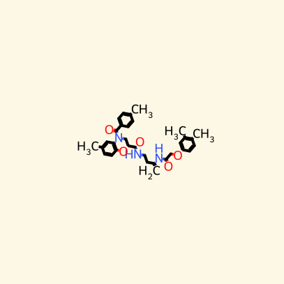 C=C(CCNC(=O)C1CN(C(=O)c2ccc(C)cc2)c2cc(C)ccc2O1)NC(=O)COc1ccc(C)c(C)c1